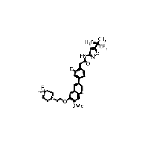 COc1cc2ncc(-c3ccc(CC(=O)Nc4cc(C(C)(C)C(F)(F)F)on4)c(F)c3)cc2cc1OCCN1CCC(F)(F)CC1